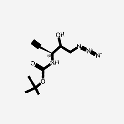 C#C[C@H](NC(=O)OC(C)(C)C)C(O)CN=[N+]=[N-]